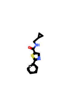 O=C(NCC1CC1)c1cnc(-c2ccccc2)s1